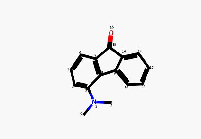 CN(C)c1cccc2c1-c1ccccc1C2=O